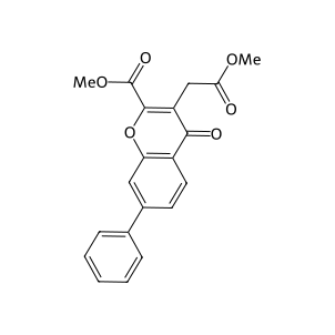 COC(=O)Cc1c(C(=O)OC)oc2cc(-c3ccccc3)ccc2c1=O